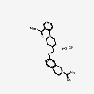 COC(=O)c1cnccc1N1CCC(COc2ccc3c(c2)CN(C(=N)N)CC3)CC1.Cl.Cl